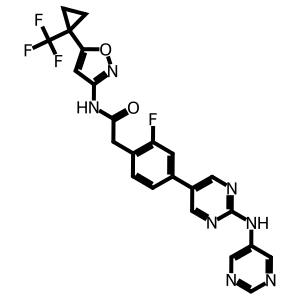 O=C(Cc1ccc(-c2cnc(Nc3cncnc3)nc2)cc1F)Nc1cc(C2(C(F)(F)F)CC2)on1